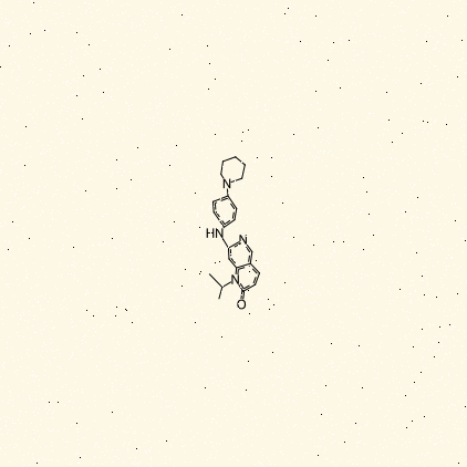 CC(C)n1c(=O)ccc2cnc(Nc3ccc(N4CCCCC4)cc3)cc21